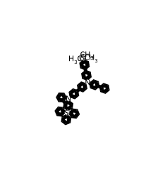 C[Si](C)(C)c1ccc(-c2ccc(N(c3ccc(-c4ccccc4)cc3)c3ccc(-c4ccc(-n5c6ccccc6c6cc([Si](c7ccccc7)(c7ccccc7)c7ccccc7)ccc65)cc4)cc3)cc2)cc1